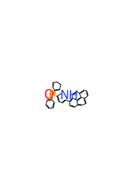 O=P(C1=CCCC=C1)(C1=CC=C(c2ccc3ccc4cccc5ccc2c3c45)NC1)c1ccccc1